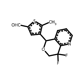 Cc1sc(C=O)cc1C1OCC(F)(F)c2ncccc21